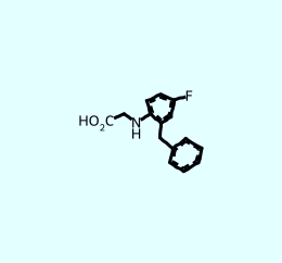 O=C(O)CNc1ccc(F)cc1Cc1ccccc1